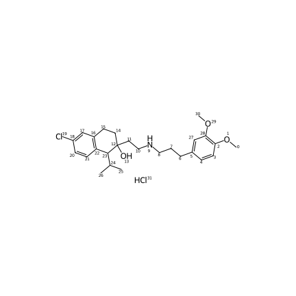 COc1ccc(CCCNCCC2(O)CCc3cc(Cl)ccc3C2C(C)C)cc1OC.Cl